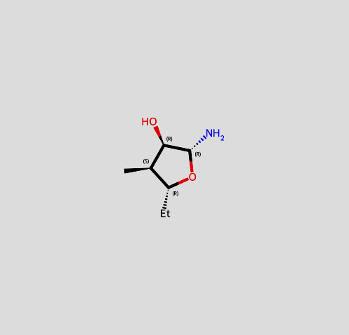 CC[C@H]1O[C@@H](N)[C@H](O)[C@@H]1C